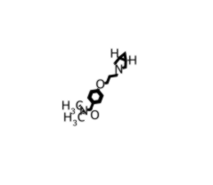 CN(C)C(=O)c1ccc(OCCCN2C[C@H]3C[C@H]3C2)cc1